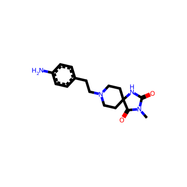 CN1C(=O)NC2(CCN(CCc3ccc(N)cc3)CC2)C1=O